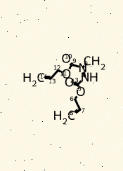 [CH2]N(NC(=O)OCC=C)C(=O)OCC=C